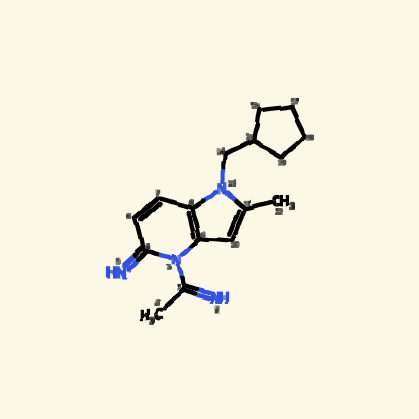 CC(=N)n1c(=N)ccc2c1cc(C)n2CC1CCCC1